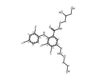 O=C(NOCC(O)CO)c1cc(CNOCCO)c(F)c(F)c1Nc1ccc(I)cc1F